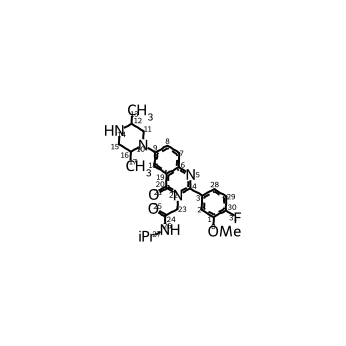 COc1cc(-c2nc3ccc(N4CC(C)NCC4C)cc3c(=O)n2CC(=O)NC(C)C)ccc1F